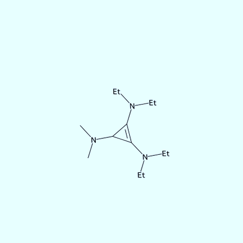 CCN(CC)C1=C(N(CC)CC)C1N(C)C